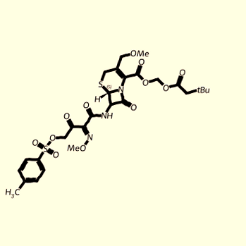 COCC1=C(C(=O)OCOC(=O)CC(C)(C)C)N2C(=O)C(NC(=O)C(=NOC)C(=O)COS(=O)(=O)c3ccc(C)cc3)[C@@H]2SC1